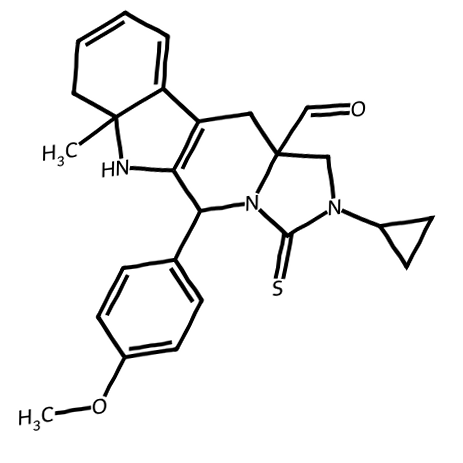 COc1ccc(C2C3=C(CC4(C=O)CN(C5CC5)C(=S)N24)C2=CC=CCC2(C)N3)cc1